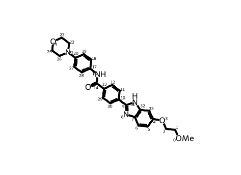 COCCOc1ccc2nc(-c3ccc(C(=O)Nc4ccc(N5CCOCC5)cc4)cc3)[nH]c2c1